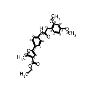 CCOC(=O)c1cc(-c2ccc(NC(=O)Cc3ccc(OC)cc3OC)cc2)oc1C